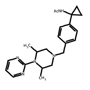 CC(=O)NC1(c2ccc(CN3CC(C)N(c4ncccn4)C(C)C3)cc2)CC1